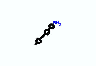 Cc1ccc(C#Cc2ccc(-c3ccc(N)cc3)cc2)cc1